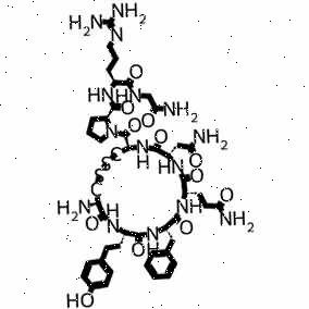 NC(=O)CC[C@@H]1NC(=O)[C@H](Cc2ccccc2)NC(=O)[C@H](CCc2ccc(O)cc2)NC(=O)[C@@H](N)CSSC[C@@H](C(=O)N2CCC[C@H]2C(=O)N[C@@H](CCCN=C(N)N)C(=O)NCC(N)=O)NC(=O)[C@H](CC(N)=O)NC1=O